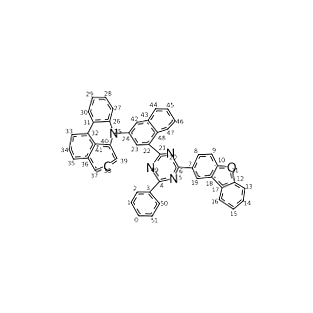 c1ccc(-c2nc(-c3ccc4oc5ccccc5c4c3)nc(-c3cc(N4c5ccccc5-c5cccc6cccc4c56)cc4ccccc34)n2)cc1